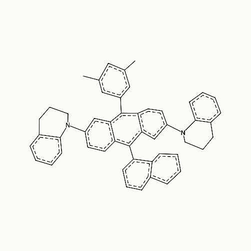 Cc1cc(C)cc(-c2c3cc(N4CCCc5ccccc54)ccc3c(-c3cccc4ccccc34)c3cc(N4CCCc5ccccc54)ccc23)c1